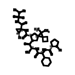 CC[C@@H]1C[C@]1(NC(=O)[C@@H]1C[C@@]2(CN1C(=O)[C@@H](NC(=O)[C@@H](NC(=O)[C@@H]1CCCN1CC)C1CCCCC1)C(C)(C)C)C(C)(C)C21CCC1)C(=O)NS(=O)(=O)N(CC)CC